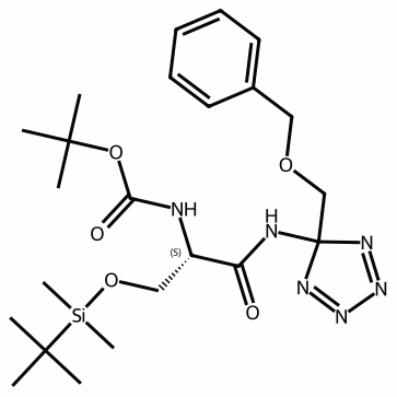 CC(C)(C)OC(=O)N[C@@H](CO[Si](C)(C)C(C)(C)C)C(=O)NC1(COCc2ccccc2)N=NN=N1